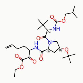 C=CCCC(NC(=O)[C@@H]1C[C@@H](OC(C)(C)C)CN1C(=O)[C@@H](NC(=O)OCC(C)C)C(C)(C)C)C(=O)C(=O)OCC